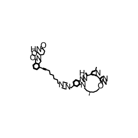 C=C1/N=C2\Nc3ccc(CN4CCN(CCCCCCC#Cc5cccc6c5CN(C5CCC(=O)NC5=O)C6=O)CC4)cc3N2CC[C@H](C)CCCOc2c(cnn2C)-c2cc1cc(C)n2